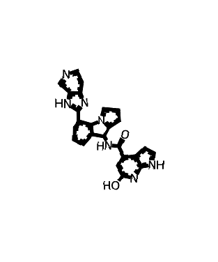 O=C(NC1c2cccc(-c3nc4ccncc4[nH]3)c2-n2cccc21)c1cc(O)nc2[nH]ccc12